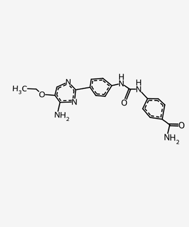 CCOc1cnc(-c2ccc(NC(=O)Nc3ccc(C(N)=O)cc3)cc2)nc1N